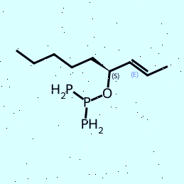 C/C=C/[C@H](CCCCC)OP(P)P